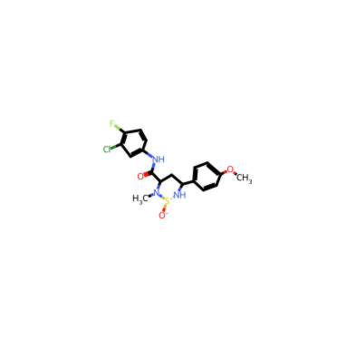 COc1ccc(C2CC(C(=O)Nc3ccc(F)c(Cl)c3)N(C)[S+]([O-])N2)cc1